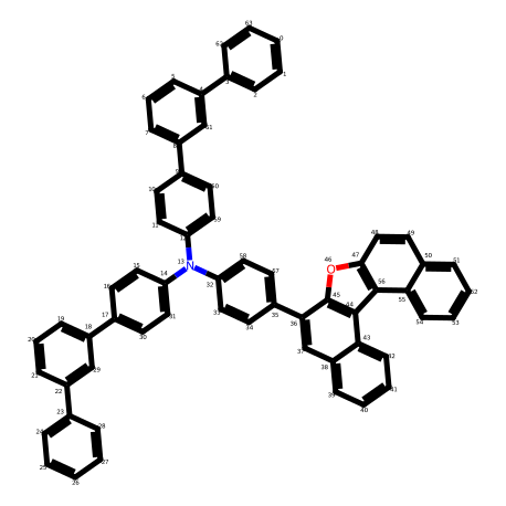 c1ccc(-c2cccc(-c3ccc(N(c4ccc(-c5cccc(-c6ccccc6)c5)cc4)c4ccc(-c5cc6ccccc6c6c5oc5ccc7ccccc7c56)cc4)cc3)c2)cc1